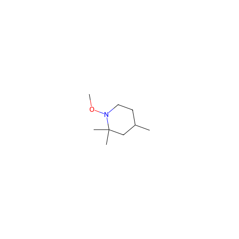 CON1CCC(C)CC1(C)C